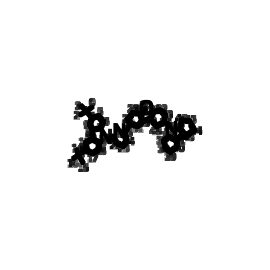 CC(C)(C)c1ccc2c(c1)c1cc(C(C)(C)C)ccc1n2-c1cccc(-c2ccc3oc4ccc(-n5c6ccccc6c6ccccc65)cc4c3c2)n1